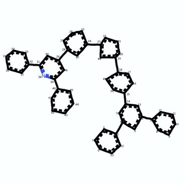 c1ccc(-c2cc(-c3ccccc3)cc(-c3ccc(-c4cccc(-c5cccc(-c6cc(-c7ccccc7)nc(-c7ccccc7)c6)c5)c4)cc3)c2)cc1